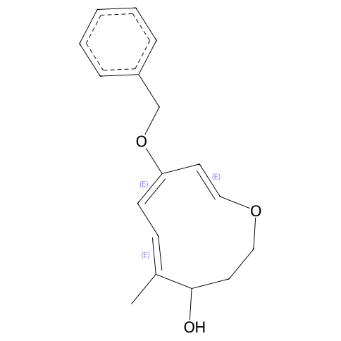 C\C1=C/C=C(OCc2ccccc2)\C=C\OCCC1O